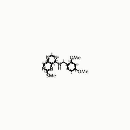 COc1ccc(CNc2ncnc3cnc(SC)nc23)c(OC)c1